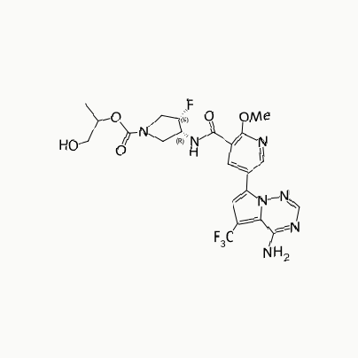 COc1ncc(-c2cc(C(F)(F)F)c3c(N)ncnn23)cc1C(=O)N[C@@H]1CN(C(=O)OC(C)CO)C[C@@H]1F